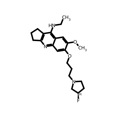 CCNc1c2c(nc3cc(OCCCN4CC[C@@H](F)C4)c(OC)cc13)CCC2